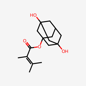 CC(C)=C(C)C(=O)OC12CC3CC(O)(CC(O)(C3)C1)C2